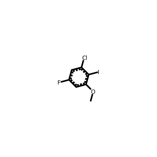 COc1cc(F)cc(Cl)c1I